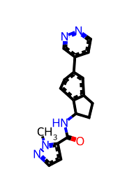 Cn1nccc1C(=O)NC1CCc2cc(-c3ccnnc3)ccc21